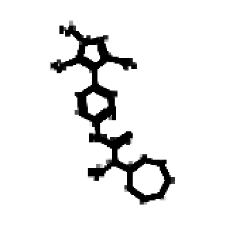 Cc1nn(C)c(C)c1-c1ccc(NC(=O)[C@@H](N)C2CCCCCC2)nc1